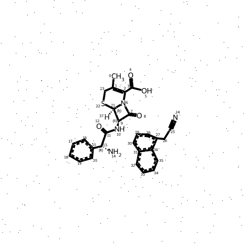 CC1=C(C(=O)O)N2C(=O)[C@@H](NC(=O)[C@H](N)c3ccccc3)[C@H]2SC1.N#CCc1cccc2ccccc12